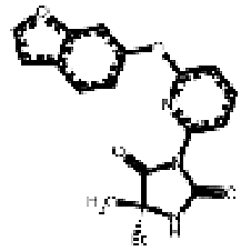 CC[C@@]1(C)NC(=O)N(c2cccc(Oc3ccc4ccoc4c3)n2)C1=O